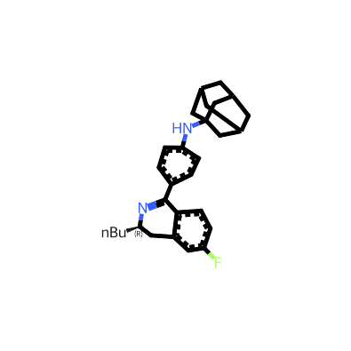 CCCC[C@@H]1Cc2cc(F)ccc2C(c2ccc(NC34CC5CC(CC(C5)C3)C4)cc2)=N1